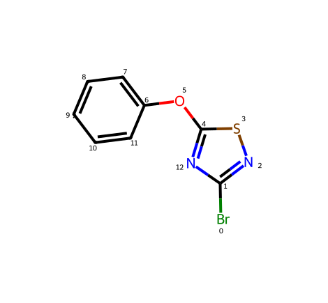 Brc1nsc(Oc2cc[c]cc2)n1